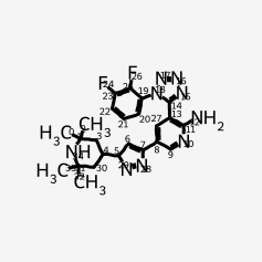 CC1(C)CC(C2C=C(c3cnc(N)c(-c4nnnn4-c4cccc(F)c4F)c3)N=N2)CC(C)(C)N1